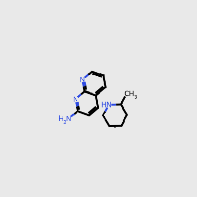 CC1CCCCN1.Nc1ccc2cccnc2n1